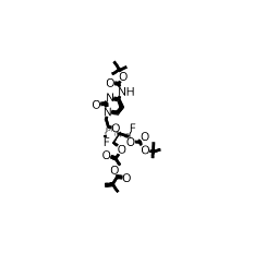 C=C(C)C(=O)OCC(=O)OC[C@@H](O[C@H](CF)Cn1ccc(NC(=O)OC(C)(C)C)nc1=O)[C@H](F)OC(=O)OC(C)(C)C